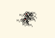 CCC(C)c1ccc(N2c3cc(C(C)(C)C)cc4c3B(c3cc5c(cc3N4c3ccc4c(c3)C(C)(C)CCC4(C)C)C(C)(C)CCC5(C)C)c3oc4cc5c(cc4c32)C(C)(C)CCC5(C)C)cc1